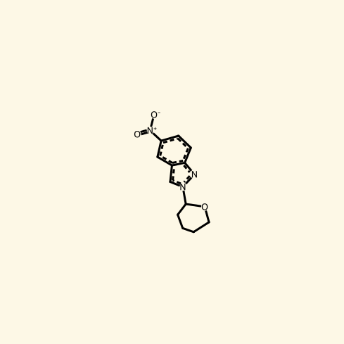 O=[N+]([O-])c1ccc2nn(C3CCCCO3)cc2c1